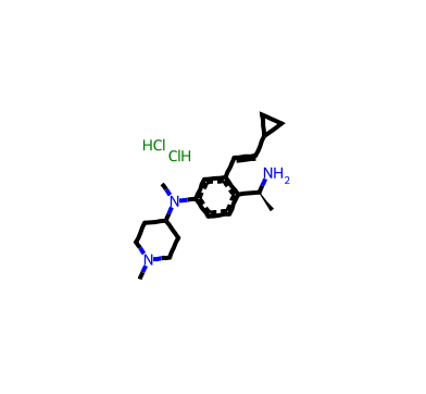 C[C@H](N)c1ccc(N(C)C2CCN(C)CC2)cc1/C=C/C1CC1.Cl.Cl